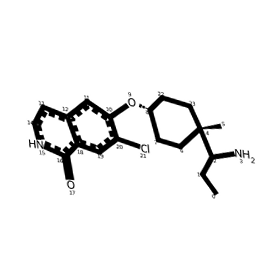 CCC(N)[C@]1(C)CC[C@H](Oc2cc3cc[nH]c(=O)c3cc2Cl)CC1